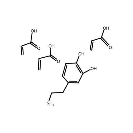 C=CC(=O)O.C=CC(=O)O.C=CC(=O)O.NCCc1ccc(O)c(O)c1